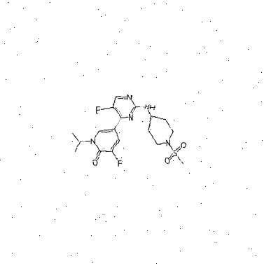 CC(C)n1cc(-c2nc(NC3CCN(S(C)(=O)=O)CC3)ncc2F)cc(F)c1=O